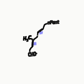 CCCCCC/C=C/C/C(C)=C/C[C]=O